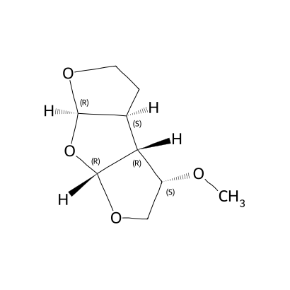 CO[C@@H]1CO[C@@H]2O[C@H]3OCC[C@H]3[C@@H]21